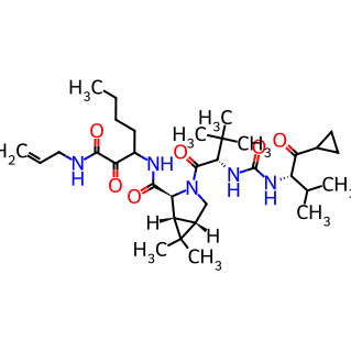 C=CCNC(=O)C(=O)C(CCCC)NC(=O)[C@@H]1[C@@H]2[C@H](CN1C(=O)[C@@H](NC(=O)N[C@H](C(=O)C1CC1)C(C)C)C(C)(C)C)C2(C)C